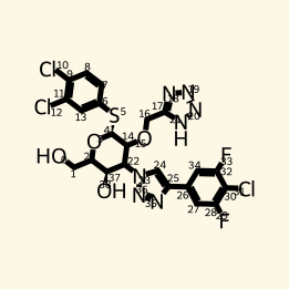 OCC1O[C@H](Sc2ccc(Cl)c(Cl)c2)C(OCc2nnn[nH]2)C(n2cc(-c3cc(F)c(Cl)c(F)c3)nn2)[C@H]1O